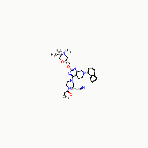 C=CC(=O)N1CCN(c2nc(OC[C@H]3CN(C)C(C)(C)CO3)nc3c2CCN(c2cccc4ccccc24)C3)C[C@@H]1CC#N